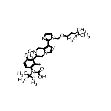 CN1Cc2c(-c3nccn3COCC[Si](C)(C)C)ncn2CC1c1c(F)ccc(N(C(=O)O)C(C)(C)C)c1F